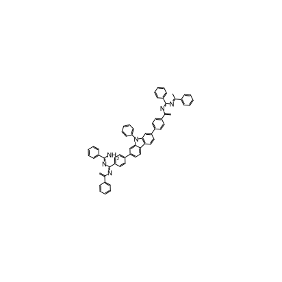 C=C(/N=C(\N=C(/N)c1ccccc1)c1ccc(-c2ccc3c4ccc(-c5ccc(C(=C)/N=C(\N=C(/C)c6ccccc6)c6ccccc6)cc5)cc4n(-c4ccccc4)c3c2)cc1)c1ccccc1